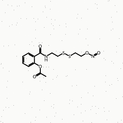 CC(=O)Oc1ccccc1C(=O)NCCSSCCON=O